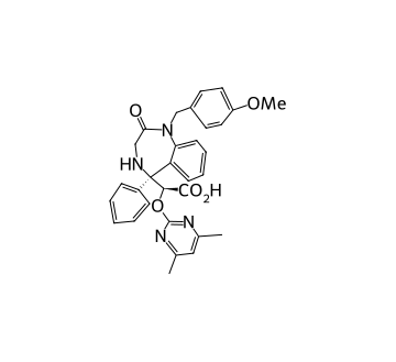 COc1ccc(CN2C(=O)CN[C@](c3ccccc3)([C@H](Oc3nc(C)cc(C)n3)C(=O)O)c3ccccc32)cc1